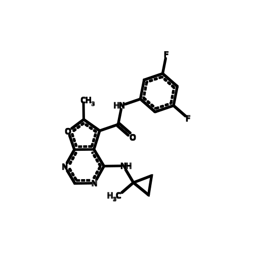 Cc1oc2ncnc(NC3(C)CC3)c2c1C(=O)Nc1cc(F)cc(F)c1